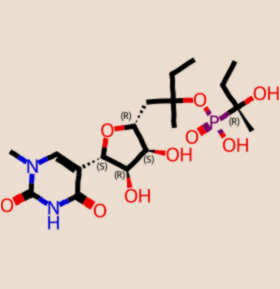 CCC(C)(C[C@H]1O[C@@H](c2cn(C)c(=O)[nH]c2=O)[C@H](O)[C@@H]1O)OP(=O)(O)[C@@](C)(O)CC